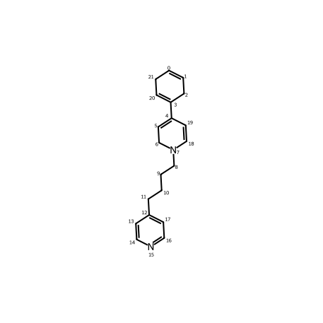 C1=CCC(C2=CCN(CCCCc3ccncc3)C=C2)=CC1